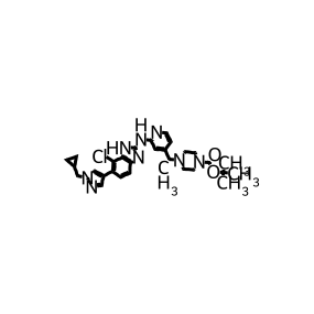 CC(c1ccnc(Nc2nc3ccc(-c4cnn(CC5CC5)c4)c(Cl)c3[nH]2)c1)N1CCN(C(=O)OC(C)(C)C)CC1